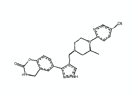 CC1CN(Cc2c[nH]nc2-c2ccc3c(c2)CNC(=O)O3)CCN1c1ccc(C#N)cn1